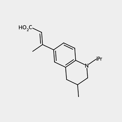 C/C(=C\C(=O)O)c1ccc2c(c1)CC(C)CN2C(C)C